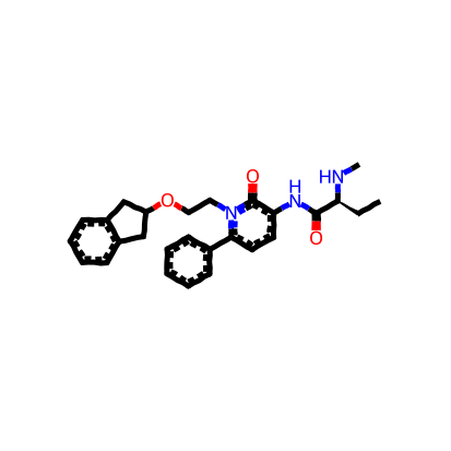 CC[C@H](NC)C(=O)Nc1ccc(-c2ccccc2)n(CCOC2Cc3ccccc3C2)c1=O